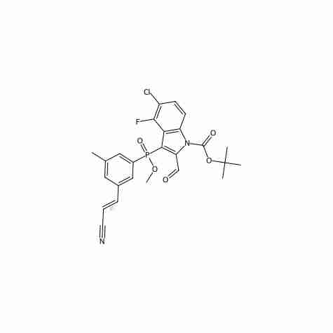 COP(=O)(c1cc(C)cc(/C=C/C#N)c1)c1c(C=O)n(C(=O)OC(C)(C)C)c2ccc(Cl)c(F)c12